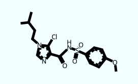 COc1ccc(S(=O)(=O)NC(=O)c2ncn(CCC(C)C)c2Cl)cc1